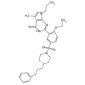 CCCn1cc(C)c2c(=O)[nH]c(-c3cc(S(=O)(=O)N4CCC(CCCc5ccccc5)CC4)ccc3OCC)nc21